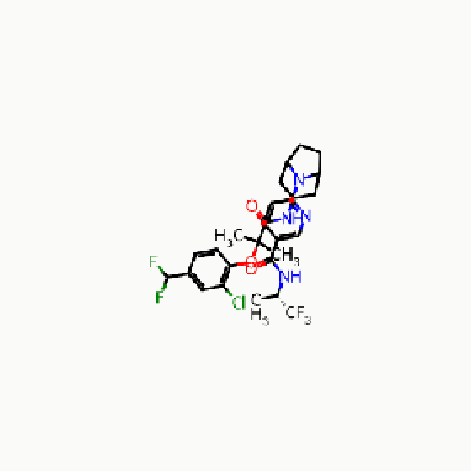 C[C@H](NC(=O)c1ccc(N2C3CCC2CC(NC(=O)C(C)(C)Oc2ccc(C(F)F)cc2Cl)C3)nc1)C(F)(F)F